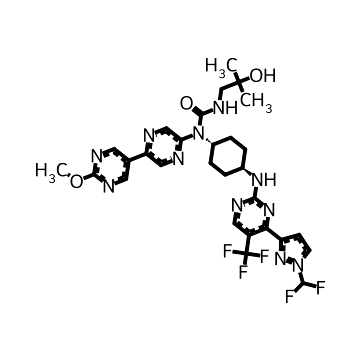 COc1ncc(-c2cnc(N(C(=O)NCC(C)(C)O)[C@H]3CC[C@H](Nc4ncc(C(F)(F)F)c(-c5ccn(C(F)F)n5)n4)CC3)cn2)cn1